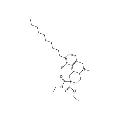 CCCCCCCCCCc1ccc(CN(C)C2CCC(C(=O)OCC)(C(=O)OCC)CC2)c(F)c1F